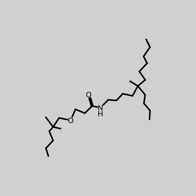 CCCCCCC(C)(CCCC)CCCCNC(=O)CCOCC(C)(C)CCCC